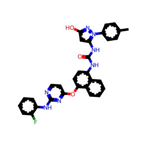 Cc1ccc(-n2nc(O)cc2NC(=O)Nc2ccc(Oc3ccnc(Nc4ccccc4F)n3)c3ccccc23)cc1